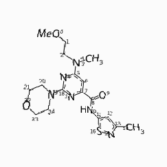 COCCN(C)c1cc(C(=O)Nc2cc(C)ns2)nc(N2CCOCC2)n1